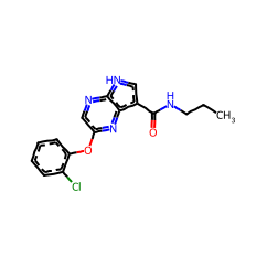 CCCNC(=O)c1c[nH]c2ncc(Oc3ccccc3Cl)nc12